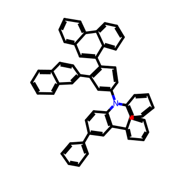 c1ccc(-c2ccc(N(c3ccccc3)c3ccc(-c4cc5ccccc5c5ccccc45)c(-c4ccc5ccccc5c4)c3)c(-c3ccccc3)c2)cc1